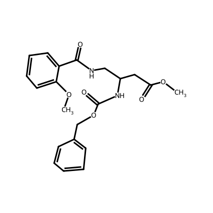 COC(=O)CC(CNC(=O)c1ccccc1OC)NC(=O)OCc1ccccc1